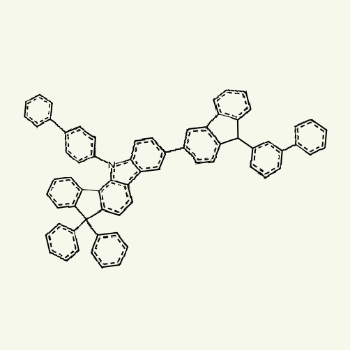 c1ccc(-c2ccc(-n3c4ccc(-c5ccc6c(c5)-c5ccccc5C6c5cccc(-c6ccccc6)c5)cc4c4ccc5c(c43)-c3ccccc3C5(c3ccccc3)c3ccccc3)cc2)cc1